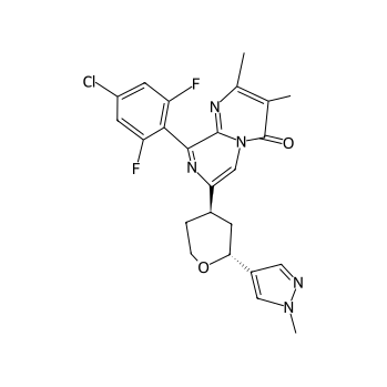 Cc1nc2c(-c3c(F)cc(Cl)cc3F)nc([C@@H]3CCO[C@@H](c4cnn(C)c4)C3)cn2c(=O)c1C